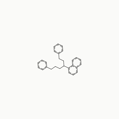 c1ccc(CCC[C](CCc2ccccc2)c2cccc3ccccc23)cc1